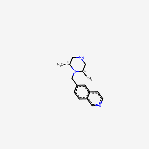 C[C@@H]1CNC[C@@H](C)N1Cc1ccc2cnccc2c1